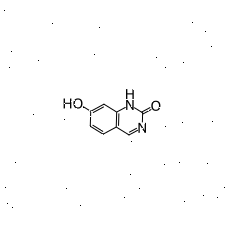 O=c1ncc2ccc(O)cc2[nH]1